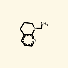 CCN1CCCc2cccnc21